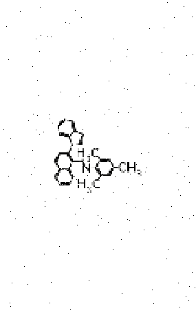 Cc1cc(C)c(N=Cc2c(C3C=Cc4ccccc43)ccc3ccccc23)c(C)c1